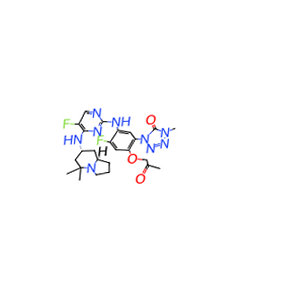 CC(=O)COc1cc(F)c(Nc2ncc(F)c(N[C@@H]3C[C@H]4CCCN4C(C)(C)C3)n2)cc1-n1nnn(C)c1=O